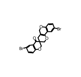 O=C1c2cc(Br)ccc2OCC12COC1=C(COc3ccc(Br)cc31)C2